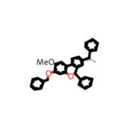 COc1cc2c(cc1OCc1ccccc1)OC(c1ccccc1)c1cc([C@@H](C)c3ccccc3)ccc1-2